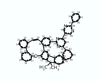 CC1(C)c2ccccc2-c2cc3c(cc21)Oc1ccccc1-c1ccccc1/C=C\c1ccc(-c2nc(-c4ccccc4)cc(-c4cnc(-c5ccccc5)nc4)n2)cc1-3